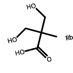 CC(CO)(CO)C(=O)O.[Rb]